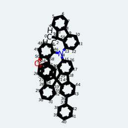 CC1(C)c2ccccc2-c2cccc(N(c3ccc4c(c3)C3(c5ccccc5-c5ccccc53)c3cc(-c5ccccc5)ccc3-4)c3cccc4oc5ccccc5c34)c21